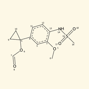 COc1cc(C2(OC=O)CC2)ccc1NS(C)(=O)=O